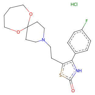 Cl.O=c1[nH]c(-c2ccc(F)cc2)c(CCN2CCC3(CC2)OCCCCO3)s1